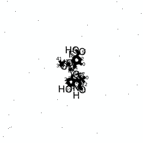 Cc1cc(C(=O)O)c(F)cc1CN(C[C@H](O[Si](C)(C)C(C)(C)C)c1ccc(O)c2[nH]c(=O)ccc12)C(=O)OC(C)(C)C